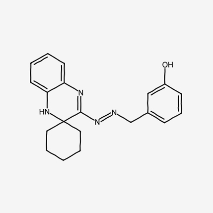 Oc1cccc(CN=NC2=Nc3ccccc3NC23CCCCC3)c1